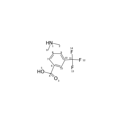 CNC.O=C(O)c1cccc(C(F)(F)F)c1